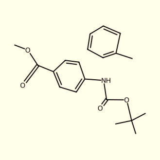 COC(=O)c1ccc(NC(=O)OC(C)(C)C)cc1.Cc1ccccc1